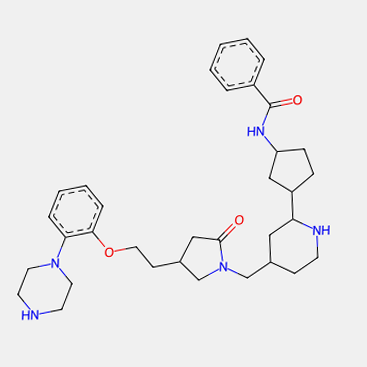 O=C(NC1CCC(C2CC(CN3CC(CCOc4ccccc4N4CCNCC4)CC3=O)CCN2)C1)c1ccccc1